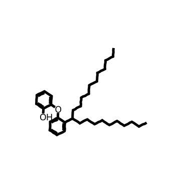 CCCCCCCCCCCC(CCCCCCCCCC)c1ccccc1Oc1ccccc1O